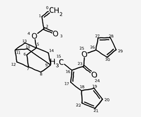 C=CC(=O)OC12CC3CC(CC(C3)C1)C2.CC(=CC1C=CC=C1)C(=O)OC1C=CC=C1